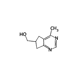 Cc1ncnc2c1CC(CO)C2